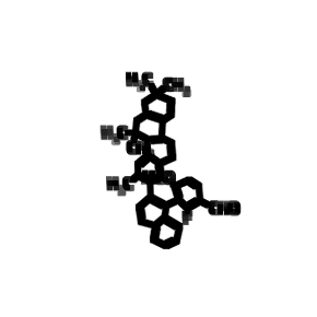 COc1ccc(C=O)c(F)c1-c1c(-c2cc3ccc4c(c3cc2C)C(C)(C)CC2=C4C=CC(C)(C)C2)ccc2ccccc12